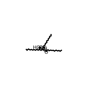 CCCCCCCCCCCC(=O)OCC(CC(CCCCCCCCCC)C(=O)O)OC(=O)CCCCCCCCCCC